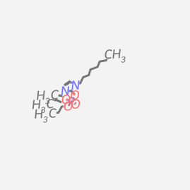 CCCCCCCCN1C=CN(CC)C1OP(=O)(OCCC)OCCC